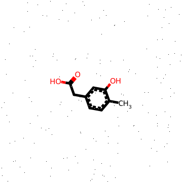 Cc1ccc(CC(=O)O)cc1O